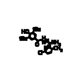 C=C1C=CC(Cl)=NN1/C(N)=N\NCC(=O)c1cc(C(C)(C)C)c(O)c(C(C)(C)C)c1